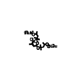 C=C(CC(=O)OC(C)(C)CC(C)OOC(C)(C)C)C(=O)OC(C)(C)CC(C)OOC(C)(C)C